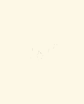 O=C1C=C(c2csc(C(F)(F)F)n2)CC1